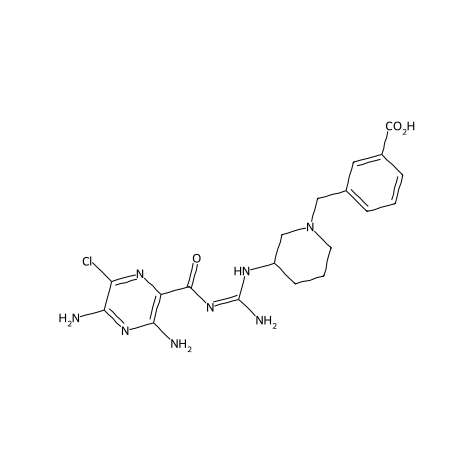 NC(=NC(=O)c1nc(Cl)c(N)nc1N)NC1CCCN(Cc2cccc(C(=O)O)c2)C1